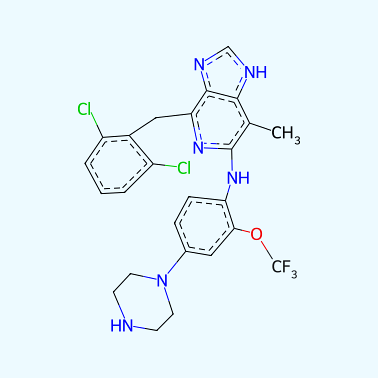 Cc1c(Nc2ccc(N3CCNCC3)cc2OC(F)(F)F)nc(Cc2c(Cl)cccc2Cl)c2nc[nH]c12